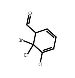 O=CC1C=CC=C(Cl)C1(Cl)Br